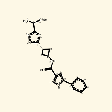 CO[C@H](C)c1nnc([C@H]2C[C@H](NC(=O)c3cc(-c4ccccc4)on3)C2)o1